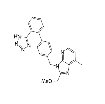 COCc1nc2c(C)ccnc2n1Cc1ccc(-c2ccccc2-c2nnn[nH]2)cc1